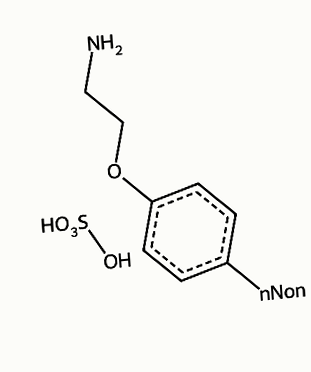 CCCCCCCCCc1ccc(OCCN)cc1.O=S(=O)(O)O